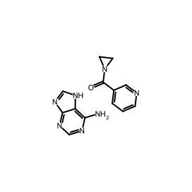 Nc1ncnc2nc[nH]c12.O=C(c1cccnc1)N1CC1